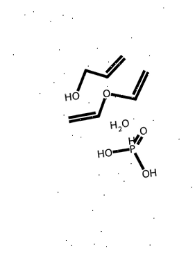 C=CCO.C=COC=C.O.O=[PH](O)O